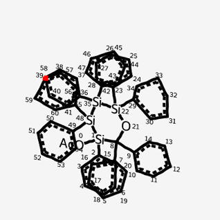 CC(=O)O[Si]1(c2ccccc2)C(c2ccccc2)(c2ccccc2)O[Si](c2ccccc2)(c2ccccc2)[Si](c2ccccc2)(c2ccccc2)[Si]1(c1ccccc1)c1ccccc1